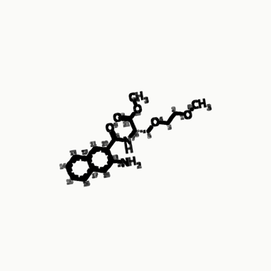 COCCOC[C@H](NC(=O)c1cc2ccccc2cc1N)C(=O)OC